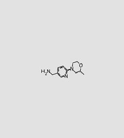 CC1CN(c2ccc(CN)cn2)CCO1